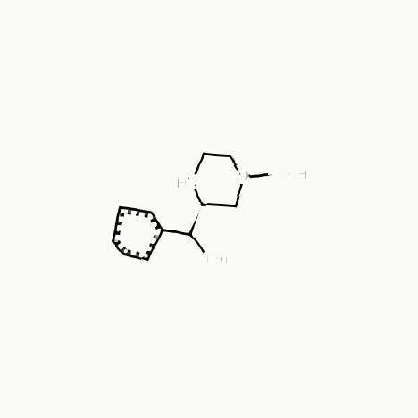 CC(C)(C)C(c1ccccc1)[C@@H]1CN(C(=O)O)CCN1